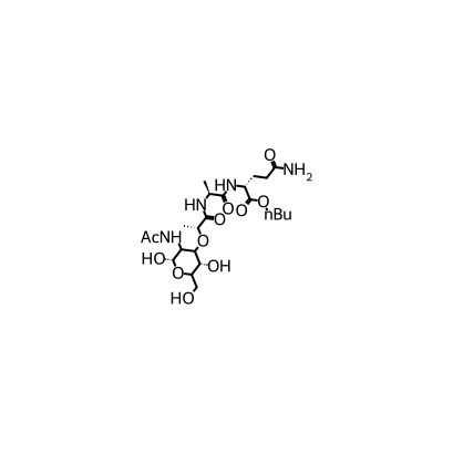 CCCCOC(=O)[C@@H](CCC(N)=O)NC(=O)[C@H](C)NC(=O)[C@@H](C)OC1C(NC(C)=O)[C@@H](O)OC(CO)[C@H]1O